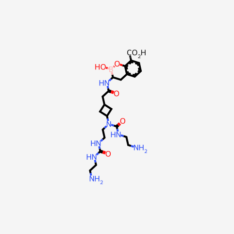 NCCNC(=O)NCCN(C(=O)NCCN)C1CC(CC(=O)NC2Cc3cccc(C(=O)O)c3OB2O)C1